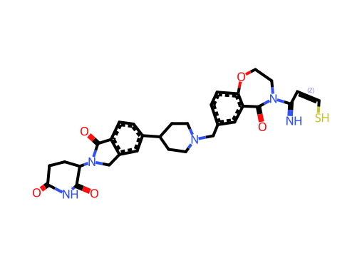 N=C(/C=C\S)N1CCOc2ccc(CN3CCC(c4ccc5c(c4)CN(C4CCC(=O)NC4=O)C5=O)CC3)cc2C1=O